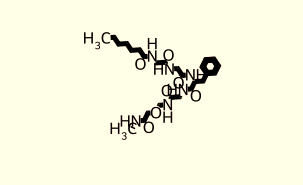 CCCCCCC(=O)NCC(=O)NCC(=O)NC(Cc1ccccc1)C(=O)NCC(=O)NCOCC(=O)NC